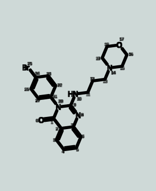 O=c1c2ccccc2nc(NCCCN2CCOCC2)n1-c1ccc(Br)cc1